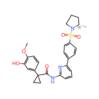 COc1ccc(C2(C(=O)Nc3cccc(-c4ccc(S(=O)(=O)N5CCC[C@@H]5C)cc4)n3)CC2)cc1O